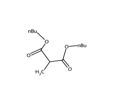 [CH2]C(C(=O)OCCCC)C(=O)OCCCC